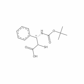 CC(C)(C)OC(=O)N[C@@H](c1ccccc1)C(S)C(=O)O